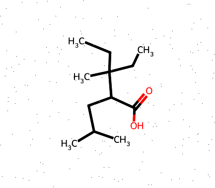 CCC(C)(CC)C(CC(C)C)C(=O)O